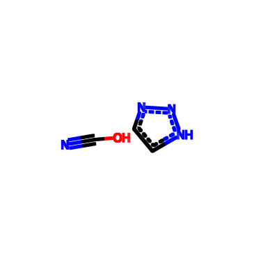 N#CO.c1c[nH]nn1